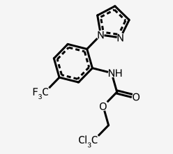 O=C(Nc1cc(C(F)(F)F)ccc1-n1cccn1)OCC(Cl)(Cl)Cl